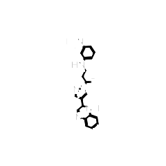 CCC(CCNc1cccc(N)c1)N1C=C(C2C=Nc3ccccc3N2)CN1